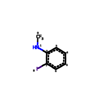 FC(F)(F)Nc1ccccc1I